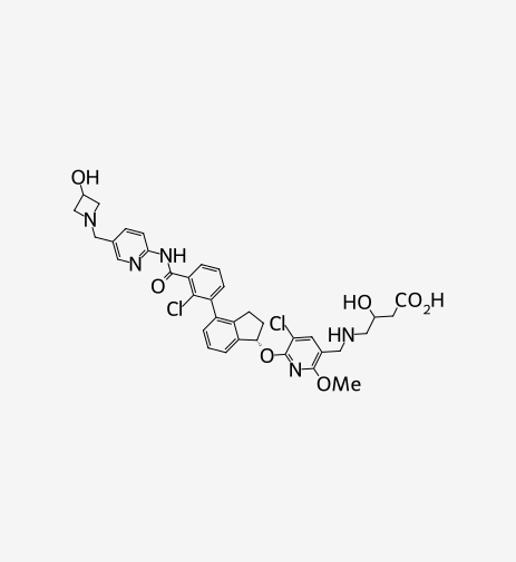 COc1nc(O[C@H]2CCc3c(-c4cccc(C(=O)Nc5ccc(CN6CC(O)C6)cn5)c4Cl)cccc32)c(Cl)cc1CNCC(O)CC(=O)O